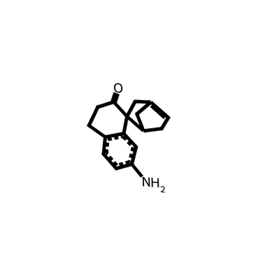 Nc1ccc2c(c1)C1(CC3=CCC1C3)C(=O)CC2